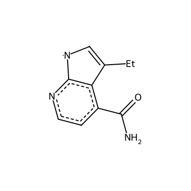 CCC1=C[N]c2nccc(C(N)=O)c21